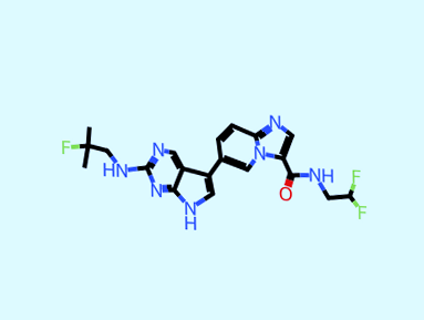 CC(C)(F)CNc1ncc2c(-c3ccc4ncc(C(=O)NCC(F)F)n4c3)c[nH]c2n1